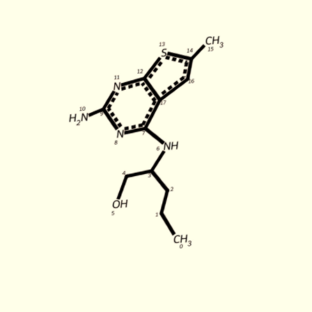 CCCC(CO)Nc1nc(N)nc2sc(C)cc12